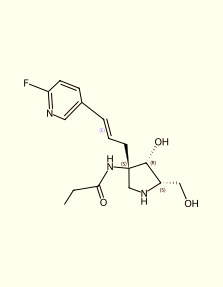 CCC(=O)N[C@@]1(C/C=C/c2ccc(F)nc2)CN[C@@H](CO)[C@H]1O